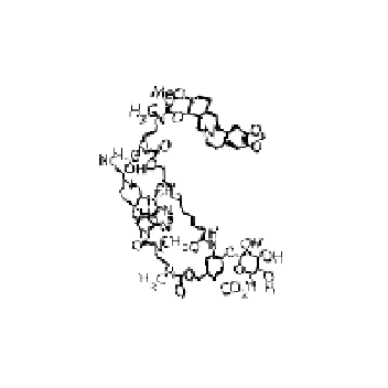 COc1ccc2cc3[n+](cc2c1OC(=O)N(C)CCN(C)C(=O)OCCCCCCCCCC(=O)Nc1cc(COC(=O)N(C)CCN(C)C(=O)n2ccc4c(N(C)[C@@H]5CN(C(O)CC#N)CC[C@@H]5C)ncnc42)ccc1O[C@@H]1O[C@H](C(=O)O)[C@@H](O)[C@H](O)[C@H]1O)CCc1cc2c(cc1-3)OCO2